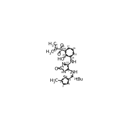 Cc1ccc([C@H](Nc2n[s+]([O-])nc2Nc2cccc(S(=O)(=O)N(C)C)c2O)C(C)(C)C)s1